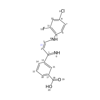 N=C(/C=C\Nc1ccc(Cl)cc1F)c1cccc(C(=O)O)c1